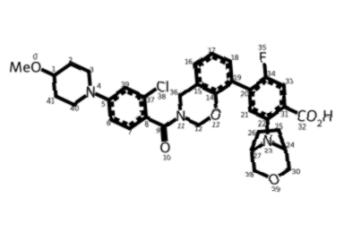 COC1CCN(c2ccc(C(=O)N3COc4c(cccc4-c4cc(N5C6CCC5COC6)c(C(=O)O)cc4F)C3)c(Cl)c2)CC1